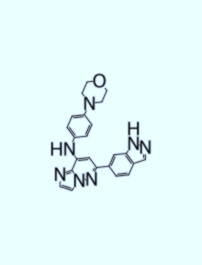 c1cn2nc(-c3ccc4cn[nH]c4c3)cc(Nc3ccc(N4CCOCC4)cc3)c2n1